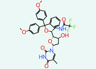 COc1ccc(C(O[C@@H](CNC(=O)C(F)(F)F)[C@H]2O[C@@H](n3cc(C)c(=O)[nH]c3=O)C[C@@H]2O)(c2ccccc2)c2ccc(OC)cc2)cc1